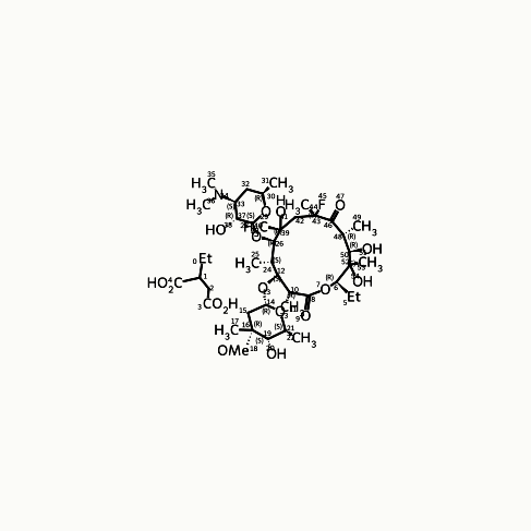 CCC(CC(=O)O)C(=O)O.CC[C@H]1OC(=O)[C@H](C)[C@@H](O[C@H]2C[C@@](C)(OC)[C@@H](O)[C@H](C)O2)[C@H](C)[C@@H](O[C@@H]2O[C@H](C)C[C@H](N(C)C)[C@H]2O)[C@](C)(O)C[C@](C)(F)C(=O)[C@H](C)[C@@H](O)[C@]1(C)O